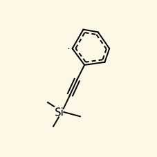 C[Si](C)(C)C#Cc1[c]cccc1